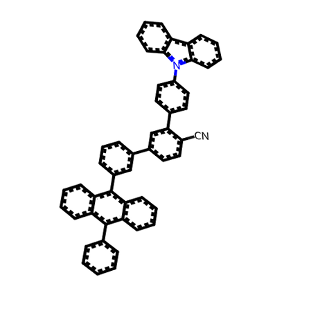 N#Cc1ccc(-c2cccc(-c3c4ccccc4c(-c4ccccc4)c4ccccc34)c2)cc1-c1ccc(-n2c3ccccc3c3ccccc32)cc1